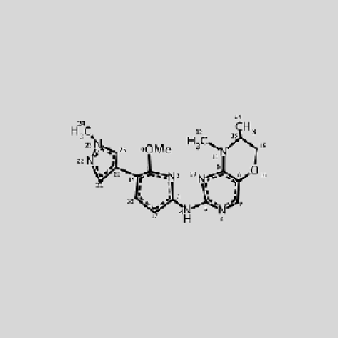 COc1nc(Nc2ncc3c(n2)N(C)C(C)CO3)ccc1-c1cnn(C)c1